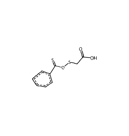 O=C(O)CSOC(=S)c1ccccc1